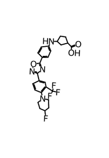 O=C(O)C1CCC(Nc2ccc(-c3nc(-c4ccc(N5CCC(F)CC5)c(C(F)(F)F)c4)no3)cc2)C1